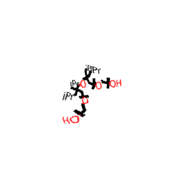 CC(C)CC(COCC(CC(C)C)(CC(C)C)CC(C)(C)OCC(C)(C)O)(CC(C)C)CC(C)(C)OCCC(C)(C)O